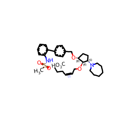 CS(=O)(=O)Nc1ccccc1-c1ccc(CO[C@@H]2CC[C@H](N3CCCCCC3)[C@H]2OC/C=C\CCC(=O)O)cc1